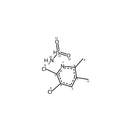 Cc1cc(Cl)c(Cl)nc1C.N[SH](=O)=O